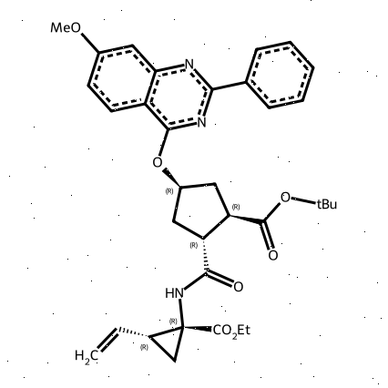 C=C[C@H]1C[C@]1(NC(=O)[C@@H]1C[C@@H](Oc2nc(-c3ccccc3)nc3cc(OC)ccc23)C[C@H]1C(=O)OC(C)(C)C)C(=O)OCC